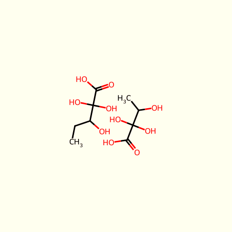 CC(O)C(O)(O)C(=O)O.CCC(O)C(O)(O)C(=O)O